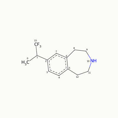 CC(c1ccc2c(c1)CCNCC2)C(F)(F)F